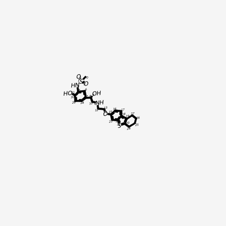 CS(=O)(=O)Nc1cc(C(O)CNCCOc2ccc3c4c(sc3c2)CCCC4)ccc1O